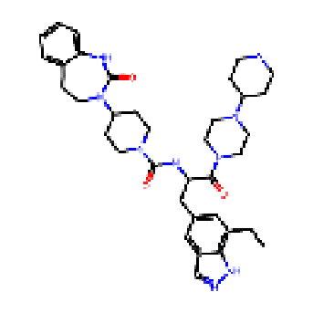 CCc1cc(CC(NC(=O)N2CCC(N3CCc4ccccc4NC3=O)CC2)C(=O)N2CCN(C3CCNCC3)CC2)cc2cn[nH]c12